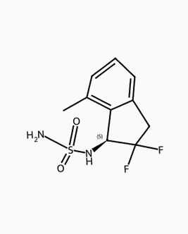 Cc1cccc2c1[C@H](NS(N)(=O)=O)C(F)(F)C2